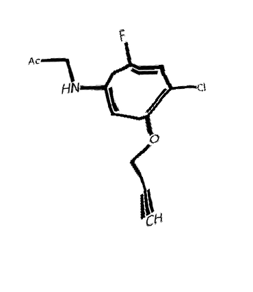 C#CCOc1cc(NCC(C)=O)c(F)cc1Cl